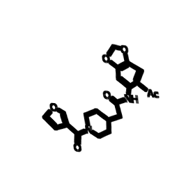 CC(=O)c1cc2c(cc1NC(=O)CC1CCN(C(=O)c3ccoc3)CC1)OCO2